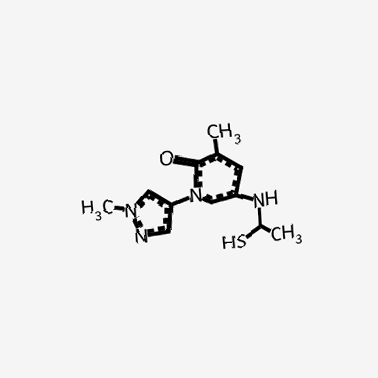 Cc1cc(NC(C)S)cn(-c2cnn(C)c2)c1=O